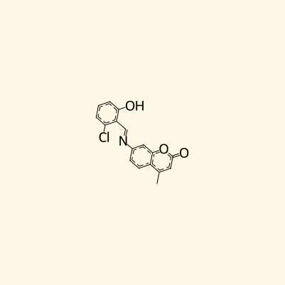 Cc1cc(=O)oc2cc(N=Cc3c(O)cccc3Cl)ccc12